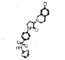 O=C1C(N2CCc3ccc(Cl)cc3C2)CCN1c1ccc(S(=O)(=O)Nc2nccs2)cc1